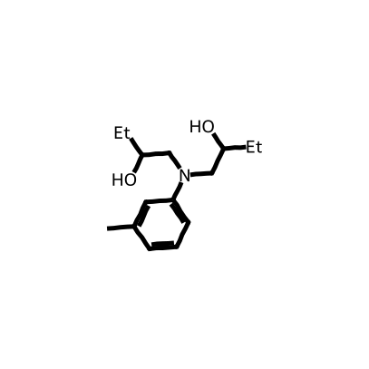 CCC(O)CN(CC(O)CC)c1cccc(C)c1